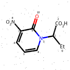 CCC(C(=O)O)n1cccc([N+](=O)[O-])c1=O